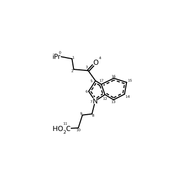 CC(C)CCC(=O)c1cn(CCCC(=O)O)c2ccccc12